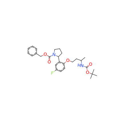 CC(CCOc1ccc(F)cc1C1CCCN1C(=O)OCc1ccccc1)NC(=O)OC(C)(C)C